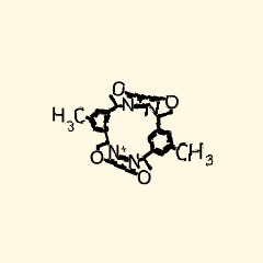 Cc1cc2cc(c1)C1COc3c4[n+](cn31)C(CO4)c1cc(C)cc(c1)C1COc3c4n(c[n+]31)C2CO4